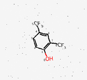 Oc1ccc(C(F)(F)F)cc1C(F)(F)F